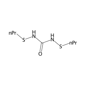 CCCSNC(=O)NSCCC